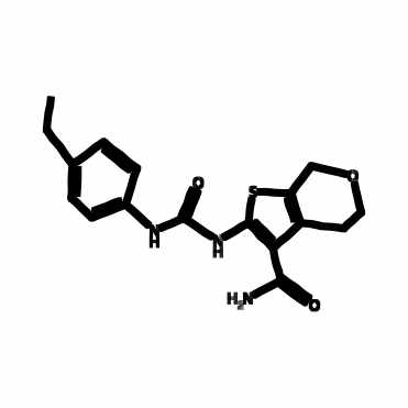 CCc1ccc(NC(=O)Nc2sc3c(c2C(N)=O)CCOC3)cc1